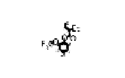 CC=C(CC)C(=O)Oc1ccccc1OC(F)(F)F